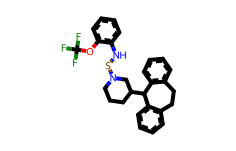 FC(F)(F)Oc1ccccc1NSN1CCCC(C2c3ccccc3CCc3ccccc32)C1